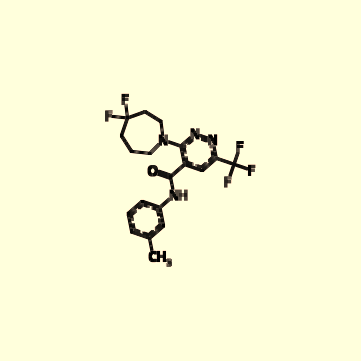 Cc1cccc(NC(=O)c2cc(C(F)(F)F)nnc2N2CCCC(F)(F)CC2)c1